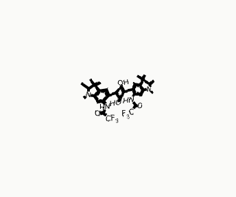 CC1N(C)c2cc(NC(=O)C(F)(F)F)c(C3C(O)C(c4cc5c(cc4NC(=O)C(F)(F)F)N(C)C(C)C5(C)C)C3O)cc2C1(C)C